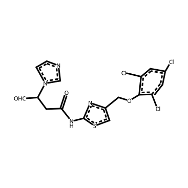 O=CC(CC(=O)Nc1nc(COc2c(Cl)cc(Cl)cc2Cl)cs1)n1ccnc1